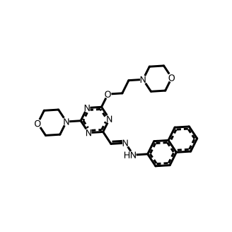 C(=NNc1ccc2ccccc2c1)c1nc(OCCN2CCOCC2)nc(N2CCOCC2)n1